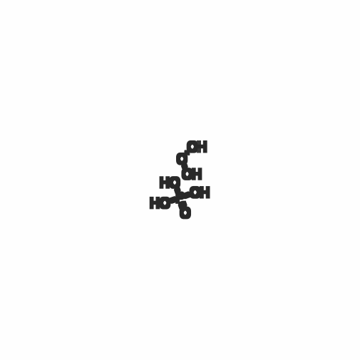 O=P(O)(O)O.OOO